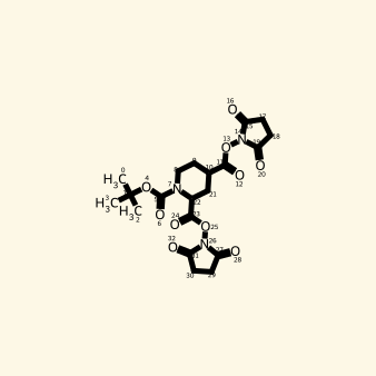 CC(C)(C)OC(=O)N1CCC(C(=O)ON2C(=O)CCC2=O)CC1C(=O)ON1C(=O)CCC1=O